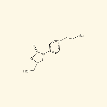 CC(C)(C)CCc1ccc(N2CC(CO)OC2=O)cc1